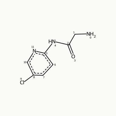 NCC(=O)Nc1ccc(Cl)cn1